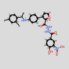 Cc1ccc(C(C)Nc2ccc(-c3ccoc3C(=O)NNC(=O)c3ccc(O)c([N+](=O)[O-])c3)cc2)c(C)c1